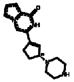 O=c1[nH]c(C2=C[C@H](N3CCNCC3)CC2)cn2cccc12